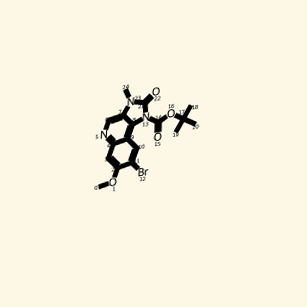 COc1cc2ncc3c(c2cc1Br)n(C(=O)OC(C)(C)C)c(=O)n3C